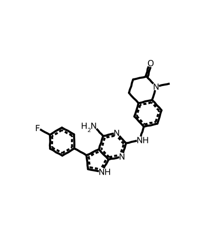 CN1C(=O)CCc2cc(Nc3nc(N)c4c(-c5ccc(F)cc5)c[nH]c4n3)ccc21